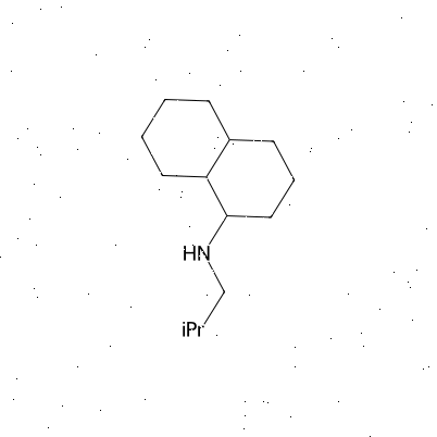 CC(C)CNC1CCCC2CCCCC21